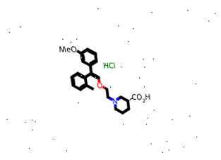 COc1cccc(/C(=C/OCCN2CCC[C@@H](C(=O)O)C2)c2ccccc2C)c1.Cl